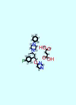 CC(CC(COc1ccncn1)c1ccc(F)cc1)N1CCN(c2ccccc2)CC1.O=C(O)C=CC(=O)O